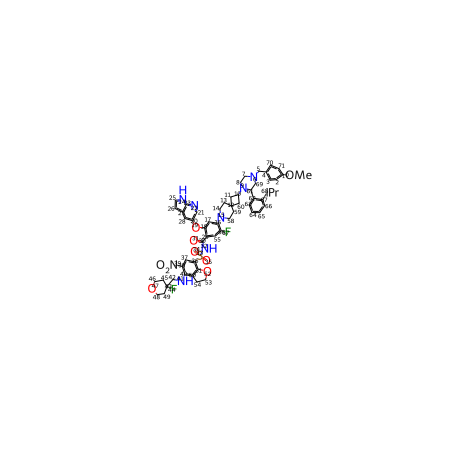 COc1ccc(CN2CCN(C3CC4(CCN(c5cc(Oc6cnc7[nH]ccc7c6)c(C(=O)NS(=O)(=O)c6cc([N+](=O)[O-])c(NCC7(F)CCOCC7)c7c6OCC7)cc5F)CC4)C3)C(c3ccccc3C(C)C)C2)cc1